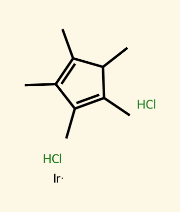 CC1=C(C)C(C)C(C)=C1C.Cl.Cl.[Ir]